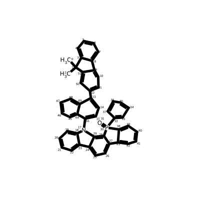 CC1(C)c2ccccc2-c2ccc(-c3ccc(-n4c5ccccc5c5ccc6c(c54)P(=O)(c4ccccc4)c4ccccc4-6)c4ccccc34)cc21